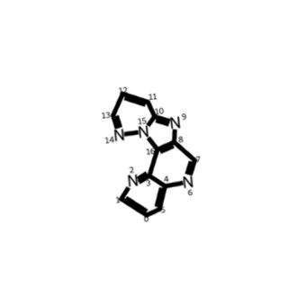 c1cnc2c(c1)ncc1nc3cccnn3c12